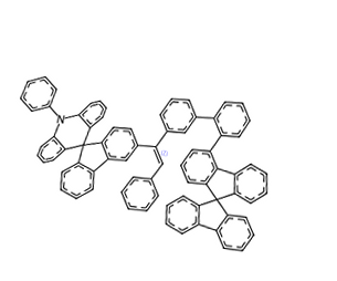 C(=C(\c1cccc(-c2ccccc2-c2cccc3c2-c2ccccc2C32c3ccccc3-c3ccccc32)c1)c1ccc2c(c1)-c1ccccc1C21c2ccccc2N(c2ccccc2)c2ccccc21)/c1ccccc1